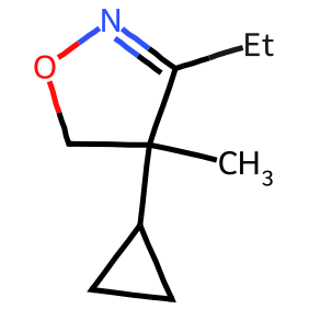 CCC1=NOCC1(C)C1CC1